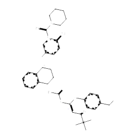 CC(C)(C)C(=N)/C=C(/NC(=O)N[C@H]1CC[C@@H](Oc2ccc(=N)n(C(=N)N3CCCCC3)c2)c2ccccc21)Nc1ccc(CCl)cc1